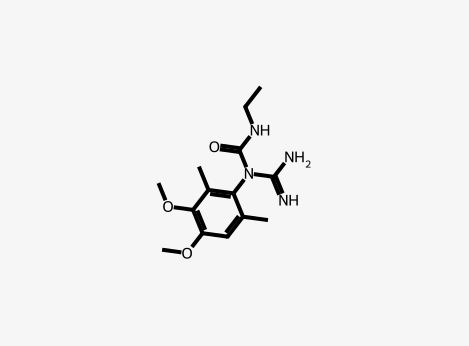 CCNC(=O)N(C(=N)N)c1c(C)cc(OC)c(OC)c1C